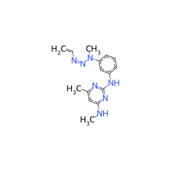 C=C/N=N\N(C)c1cccc(Nc2nc(C)cc(NC)n2)c1